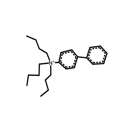 CCCC[N+](CCCC)(CCCC)c1ccc(-c2ccccc2)cc1